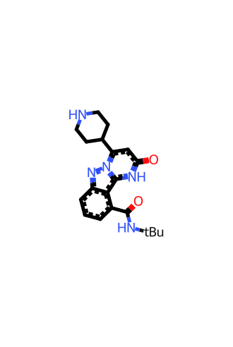 CC(C)(C)NC(=O)c1cccc2nn3c(C4CCNCC4)cc(=O)[nH]c3c12